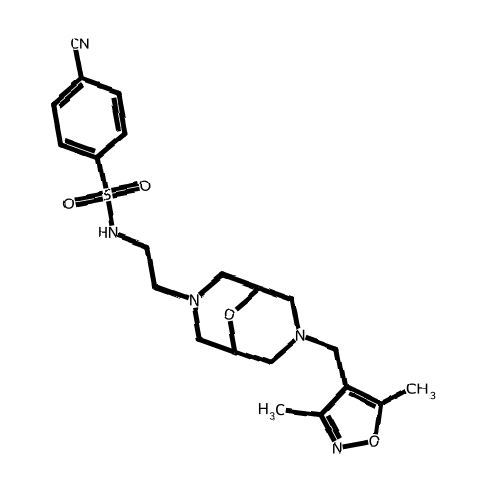 Cc1noc(C)c1CN1CC2CN(CCNS(=O)(=O)c3ccc(C#N)cc3)CC(C1)O2